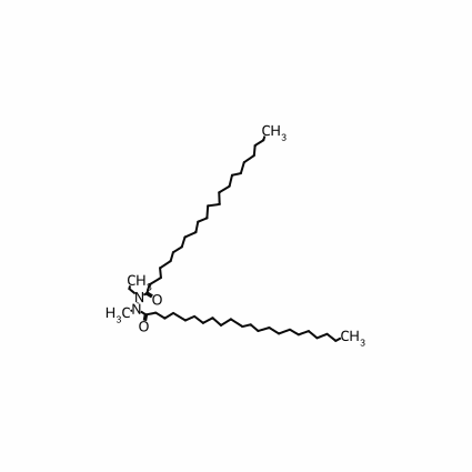 CCCCCCCCCCCCCCCCCCCCCC(=O)N(C)N(CC)C(=O)CCCCCCCCCCCCCCCCCCCCC